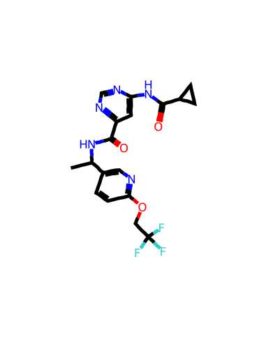 CC(NC(=O)c1cc(NC(=O)C2CC2)ncn1)c1ccc(OCC(F)(F)F)nc1